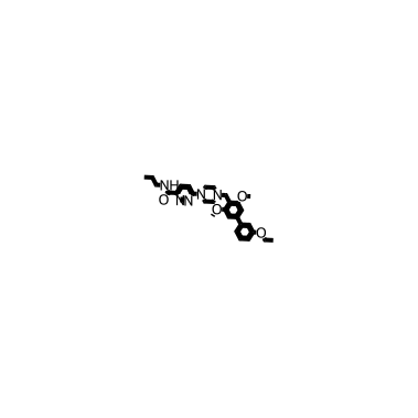 CCCNC(=O)c1ccc(N2CCN(Cc3c(OC)cc(-c4cccc(OCC)c4)cc3OC)CC2)nn1